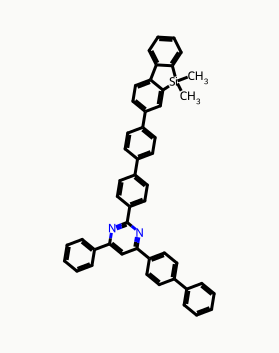 C[Si]1(C)c2ccccc2-c2ccc(-c3ccc(-c4ccc(-c5nc(-c6ccccc6)cc(-c6ccc(-c7ccccc7)cc6)n5)cc4)cc3)cc21